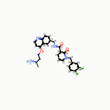 CC(N)CCOc1ccnc2ccc(CNC(=O)c3cccn(Cc4ccc(F)c(F)c4)c3=O)cc12